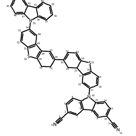 N#Cc1ccc2c(c1)c1cc(C#N)ccc1n2-c1ccc2c(c1)C1CC(C3=Cc4c(sc5ccc(-n6c7ccccc7c7ccccc76)cc45)CC3)=CC=C1S2